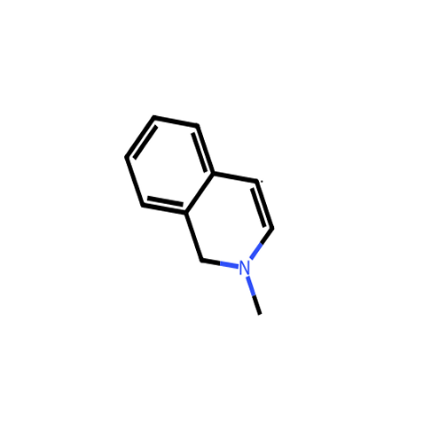 CN1C=[C]c2ccccc2C1